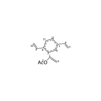 C=COC(C)=O.C=Cc1ccc(C=C)cc1